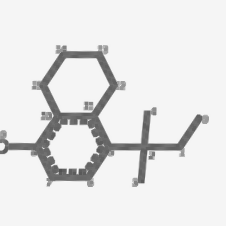 CCC(C)(C)c1ccc(O)c2c1CCCC2